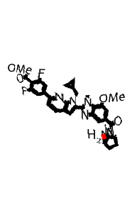 COC(=O)c1c(F)cc(-c2ccc3cc(-c4nc5cc(C(=O)N6CC7CCC6[C@@H]7N)cc(OC)c5n4C)n(CC4CC4)c3n2)cc1F